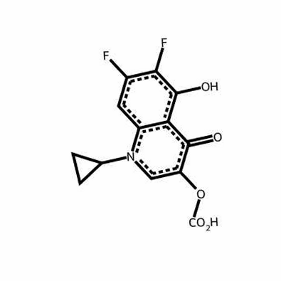 O=C(O)Oc1cn(C2CC2)c2cc(F)c(F)c(O)c2c1=O